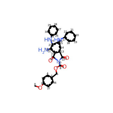 COc1ccc(COC(=O)N2C(=O)c3cc(Nc4ccccc4)c(Nc4ccccc4)c(N)c3C2=O)cc1